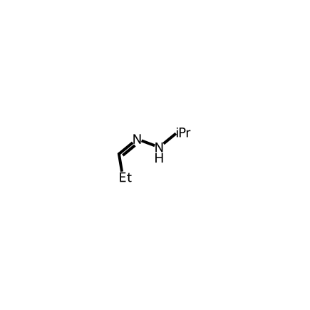 CC/C=N\NC(C)C